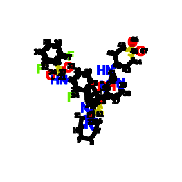 CC1(O)CC(N2CC3CCC(C2)N3c2nc(-c3cccc(NS(=O)(=O)c4c(F)cccc4F)c3F)c(-c3ccnc(NC4CCS(=O)(=O)CC4)n3)s2)C1